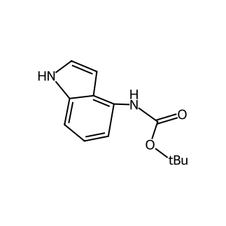 CC(C)(C)OC(=O)Nc1cccc2[nH]ccc12